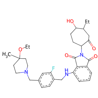 CCOC1(C)CCN(Cc2ccc(CNc3cccc4c3C(=O)N(C3CCC(O)C(CC)CC3=O)C4=O)c(F)c2)CC1